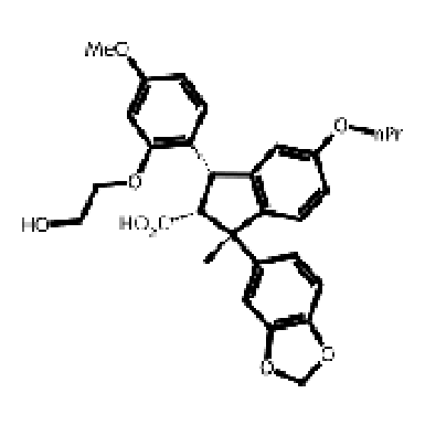 CCCOc1ccc2c(c1)[C@@H](c1ccc(OC)cc1OCCO)[C@@H](C(=O)O)[C@@]2(C)c1ccc2c(c1)OCO2